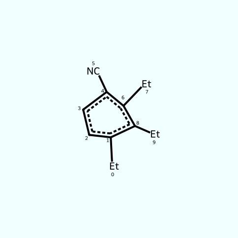 CCc1ccc(C#N)c(CC)c1CC